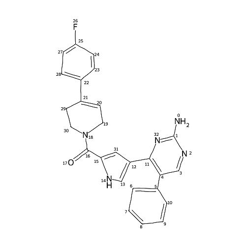 Nc1ncc(-c2ccccc2)c(-c2c[nH]c(C(=O)N3CC=C(c4ccc(F)cc4)CC3)c2)n1